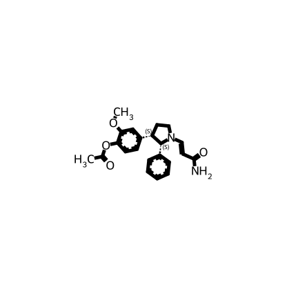 COc1cc([C@@H]2CCN(C=CC(N)=O)[C@@H]2c2ccccc2)ccc1OC(C)=O